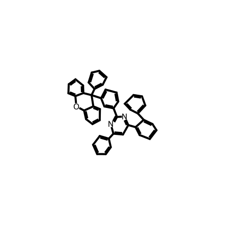 c1ccc(-c2cc(-c3ccccc3-c3ccccc3)nc(-c3cccc(C4(c5ccccc5)c5ccccc5Oc5ccccc54)c3)n2)cc1